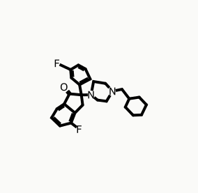 O=C1c2cccc(F)c2CC1(c1cccc(F)c1)N1CCN(CC2CCCCC2)CC1